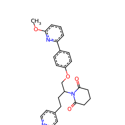 COc1cccc(-c2ccc(OCC(CCc3ccncc3)N3C(=O)CCCC3=O)cc2)n1